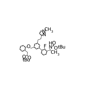 CC(NC(=O)OC(C)(C)C)c1cccc(-c2cc(CCc3ccn(C)n3)cc(COc3ccccc3CC(=O)OC(C)(C)C)c2)c1F